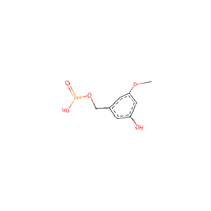 COc1cc(O)cc(CO[PH](=O)O)c1